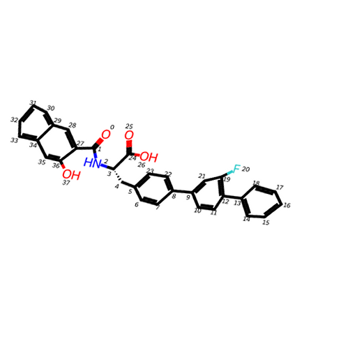 O=C(N[C@@H](Cc1ccc(-c2ccc(-c3ccccc3)c(F)c2)cc1)C(=O)O)c1cc2ccccc2cc1O